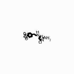 CS(=O)(=O)c1ccc(CCNc2cc(Cl)nc(N)n2)cc1